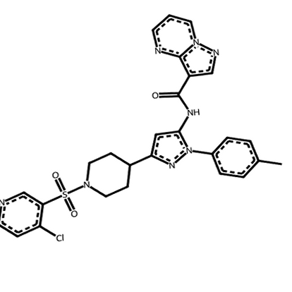 Cc1ccc(-n2nc(C3CCN(S(=O)(=O)c4cnccc4Cl)CC3)cc2NC(=O)c2cnn3cccnc23)cc1